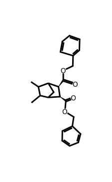 CC1C(C)C2CC1[C@@H](C(=O)OCc1ccccc1)[C@H]2C(=O)OCc1ccccc1